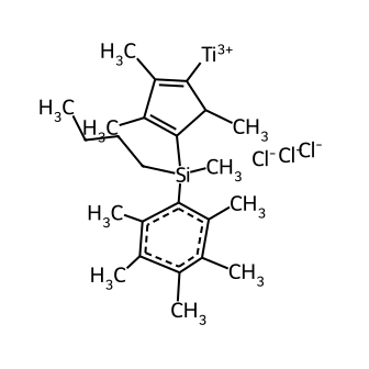 CCCC[Si](C)(C1=C(C)C(C)=[C]([Ti+3])C1C)c1c(C)c(C)c(C)c(C)c1C.[Cl-].[Cl-].[Cl-]